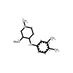 COC1CN(C)CCC1Oc1ccc(C)c(C)c1